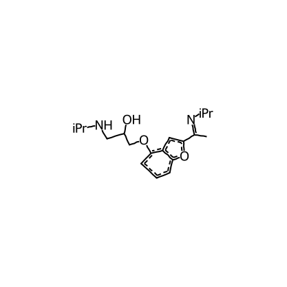 CC(=NC(C)C)c1cc2c(OCC(O)CNC(C)C)cccc2o1